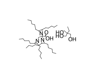 CCC(CO)(CO)CO.CCCCCC1C(CCCCC)N1CC(C(=O)O)(N1C(CCCCC)C1CCCCC)N1C(CCCCC)C1CCCCC